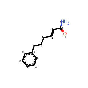 NC(=O)C=CCCCc1ccccc1